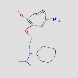 COc1ccc(N)cc1OCCN(C(C)C)C1CCCCC1